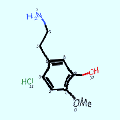 COc1ccc(CCN)cc1O.Cl